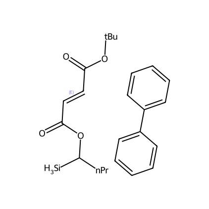 CCCC([SiH3])OC(=O)/C=C/C(=O)OC(C)(C)C.c1ccc(-c2ccccc2)cc1